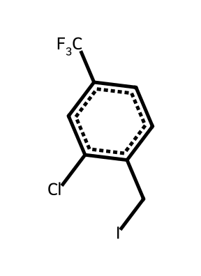 FC(F)(F)c1ccc(CI)c(Cl)c1